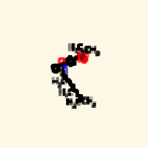 CCOP(=O)(OCC)OCc1ccc(NC(=O)c2ccccc2SC/C=C(\C)CC/C=C(\C)CCC=C(C)C)cc1